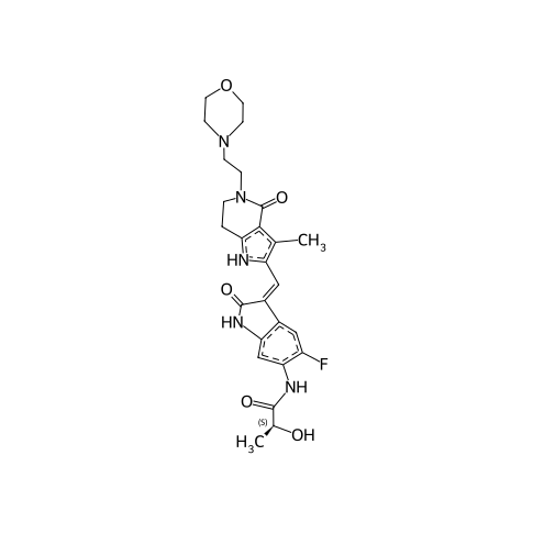 Cc1c(C=C2C(=O)Nc3cc(NC(=O)[C@H](C)O)c(F)cc32)[nH]c2c1C(=O)N(CCN1CCOCC1)CC2